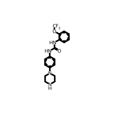 O=C(Nc1ccc(N2CCNCC2)cc1)Nc1ccccc1OC(F)(F)F